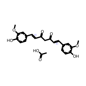 CC(=O)O.COc1cc(/C=C/C(=O)CC(=O)/C=C/c2ccc(O)c(OC)c2)ccc1O